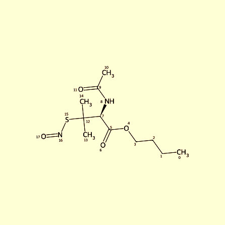 CCCCOC(=O)[C@H](NC(C)=O)C(C)(C)SN=O